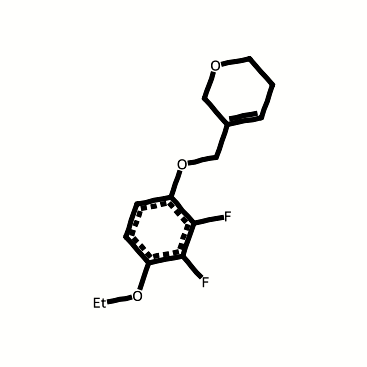 CCOc1ccc(OCC2=CCCOC2)c(F)c1F